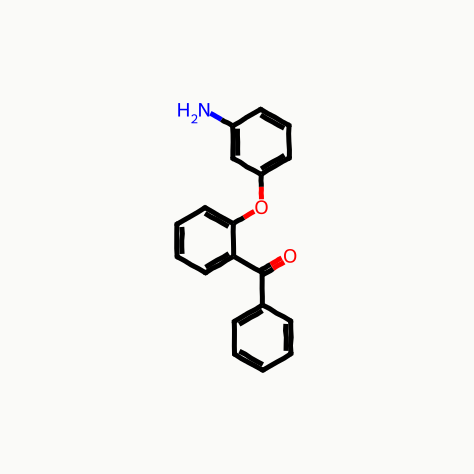 Nc1cccc(Oc2ccccc2C(=O)c2ccccc2)c1